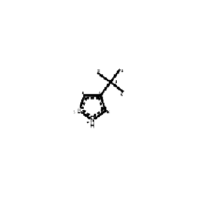 CC(C)(C)c1cb[nH]c1